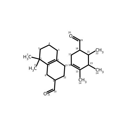 CC1(C)CCCC2=C1CC(C=O)CC2.CC1=CCC(C=O)C(C)C1C